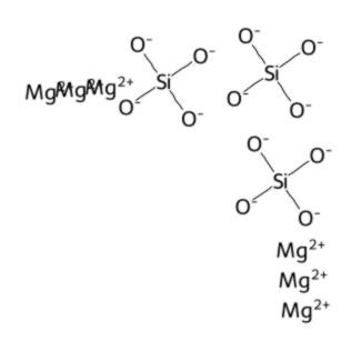 [Mg+2].[Mg+2].[Mg+2].[Mg+2].[Mg+2].[Mg+2].[O-][Si]([O-])([O-])[O-].[O-][Si]([O-])([O-])[O-].[O-][Si]([O-])([O-])[O-]